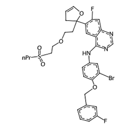 CCCS(=O)(=O)CCOCCC1(c2cc3c(Nc4ccc(OCc5cccc(F)c5)c(Br)c4)ncnc3cc2F)CC=CO1